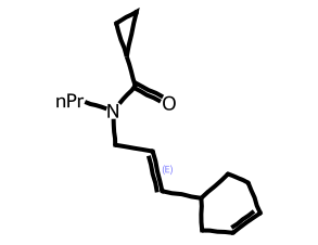 CCCN(C/C=C/C1CC=CCC1)C(=O)C1CC1